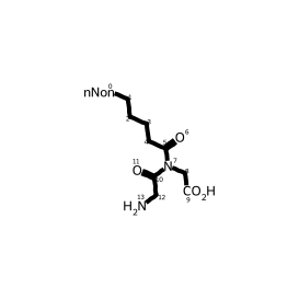 CCCCCCCCCCCCCC(=O)N(CC(=O)O)C(=O)CN